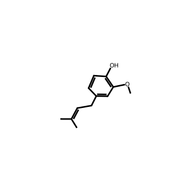 COc1cc(CC=C(C)C)ccc1O